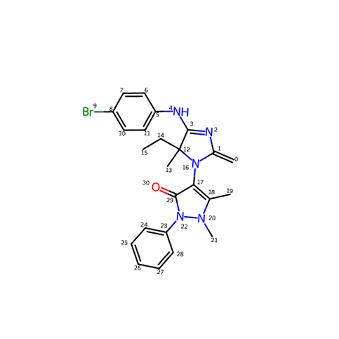 C=C1N=C(Nc2ccc(Br)cc2)C(C)(CC)N1c1c(C)n(C)n(-c2ccccc2)c1=O